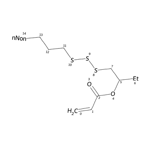 C=CC(=O)OC(CC)CSSSCCCCCCCCCCCC